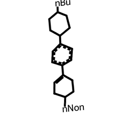 CCCCCCCCCC1CC=C(c2ccc(C3CCC(CCCC)CC3)cc2)CC1